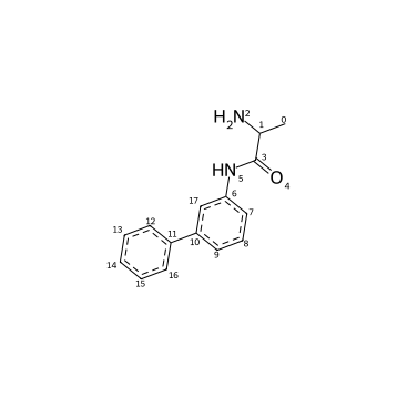 CC(N)C(=O)Nc1cccc(-c2ccccc2)c1